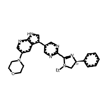 CCN1C[C@H](c2ccccc2)N=C1c1ncc(-c2c[nH]c3ncc(N4CCOCC4)cc23)cn1